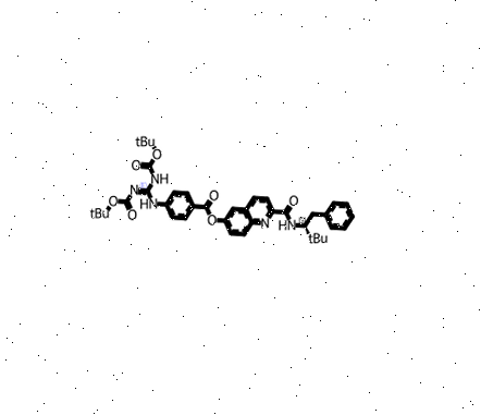 CC(C)(C)OC(=O)/N=C(/NC(=O)OC(C)(C)C)Nc1ccc(C(=O)Oc2ccc3nc(C(=O)N[C@@H](Cc4ccccc4)C(C)(C)C)ccc3c2)cc1